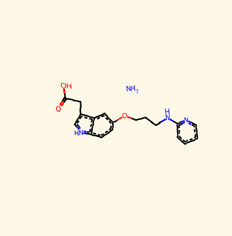 N.O=C(O)Cc1c[nH]c2ccc(OCCCNc3ccccn3)cc12